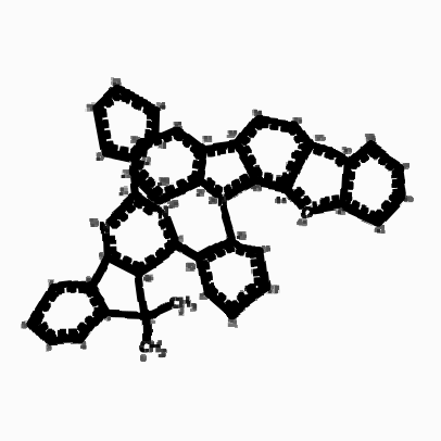 CC1(C)c2ccccc2-c2nc(-c3ccccc3)nc(-c3ccccc3-n3c4ccccc4c4ccc5c6ccccc6oc5c43)c21